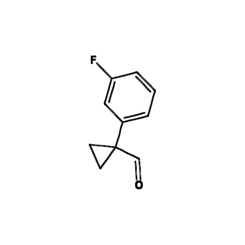 O=CC1(c2cccc(F)c2)CC1